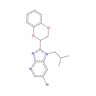 CC(C)Cn1c(C2COc3ccccc3O2)nc2ncc(Br)cc21